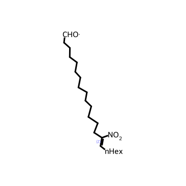 CCCCCC/C=C(/CCCCCCCCCCCCC[C]=O)[N+](=O)[O-]